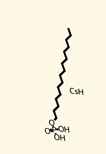 CCCCCCCCCCCCCCCCOP(=O)(O)O.[CsH]